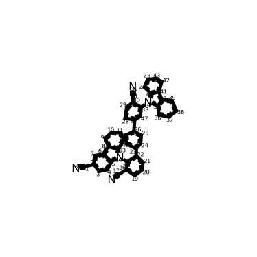 N#Cc1ccc2c(c1)c1ccccc1n2-c1c(C#N)cccc1-c1ccc(-c2ccc(C#N)c(-n3c4ccccc4c4ccccc43)c2)cc1